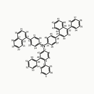 c1ccc(-c2ccc(N(c3ccc(-c4cccc5ccccc45)cc3)c3ccc(-c4ccc(-c5ccccc5)c5ccccc45)cc3)cc2-c2ccccc2)cc1